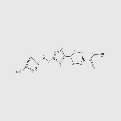 CC(=O)Nc1ccc(OCc2csc(C3CCN(C(=O)OC(C)(C)C)CC3)n2)cc1